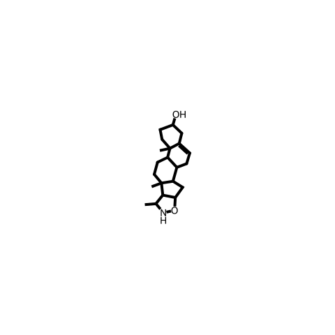 CC1NOC2CC3C4CC=C5CC(O)CCC5(C)C4CCC3(C)C12